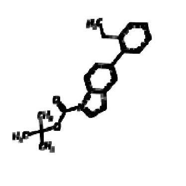 CCc1ccccc1-c1ccc2c(ccn2C(=O)OC(C)(C)C)c1